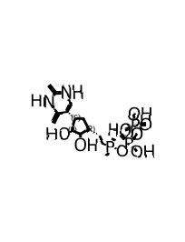 C=C1NC=C([C@@H]2C[C@H](CCP(=C)(C)OP(=C)(O)OP(=O)(O)O)C(O)[C@@H]2O)C(=C)N1